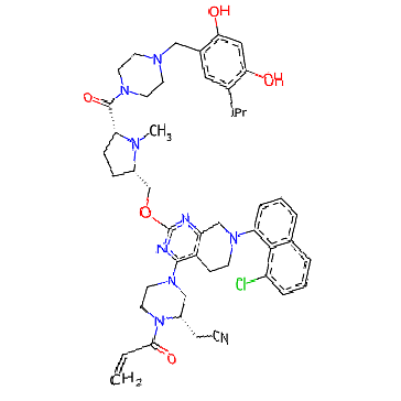 C=CC(=O)N1CCN(c2nc(OC[C@@H]3CC[C@H](C(=O)N4CCN(Cc5cc(C(C)C)c(O)cc5O)CC4)N3C)nc3c2CCN(c2cccc4cccc(Cl)c24)C3)C[C@@H]1CC#N